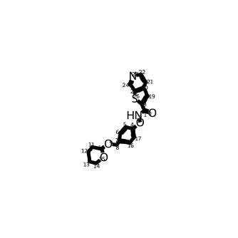 O=C(NOc1ccc(COC2CCCCO2)cc1)c1cc2ccncc2s1